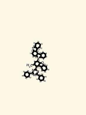 Cc1cc(-n2c3ccccc3c3c4c(ccc32)sc2ccccc24)c2oc3ccccc3c2c1-c1nc(-c2ccccc2)nc(-c2ccccc2)n1